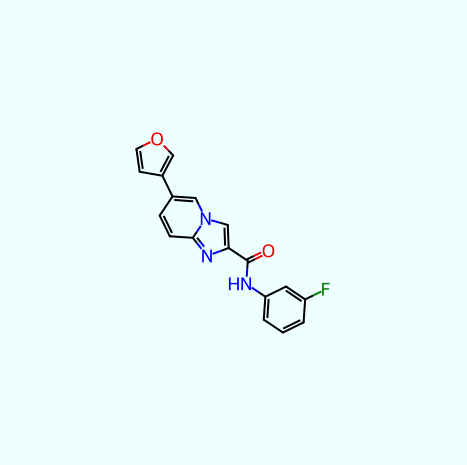 O=C(Nc1cccc(F)c1)c1cn2cc(-c3ccoc3)ccc2n1